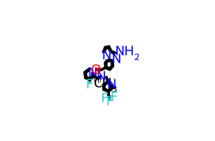 C[C@H](c1ncccc1F)N(Cc1ccc(C(F)(F)F)cn1)C(=O)c1ccc2nc(N)c3cccn3c2c1